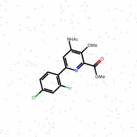 COC(=O)c1nc(-c2ccc(Cl)cc2F)cc(NC(C)=O)c1OC